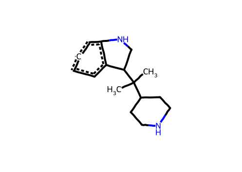 CC(C)(C1CCNCC1)C1CNc2c[c]ccc21